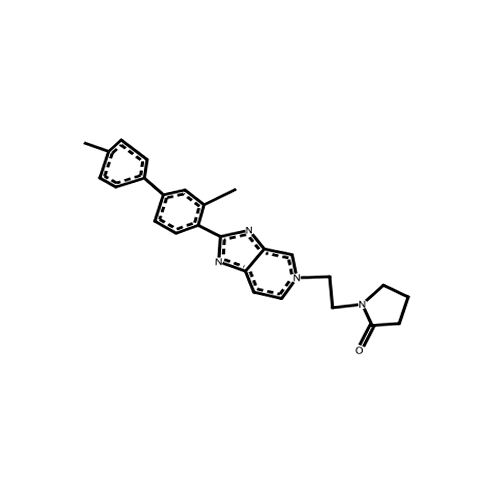 Cc1ccc(-c2ccc(-c3nc4ccn(CCN5CCCC5=O)cc-4n3)c(C)c2)cc1